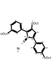 CCCCCCCCC1=C(c2cccc(CCCCCCCC)c2)[N+](=[N-])C(c2ccc(CCCCCCCC)cc2)=C1.[Ni]